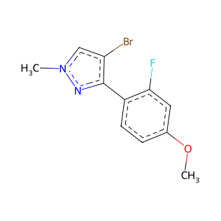 COc1ccc(-c2nn(C)cc2Br)c(F)c1